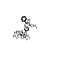 CCN[C@H](CN1CC[C@@H](O[Si](C)(C)C(C)(C)C)C1)c1ccccc1